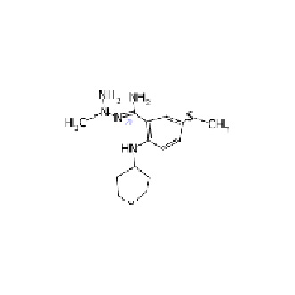 CSc1ccc(NC2CCCCC2)c(/C(N)=N/N(C)N)c1